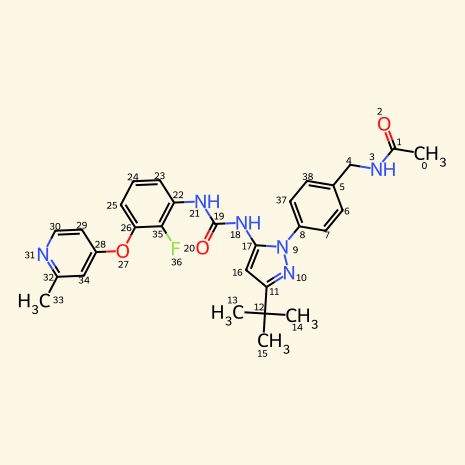 CC(=O)NCc1ccc(-n2nc(C(C)(C)C)cc2NC(=O)Nc2cccc(Oc3ccnc(C)c3)c2F)cc1